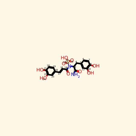 NC(=O)C(Cc1ccc(O)c(O)c1)N(C(=O)/C=C/c1ccc(O)c(O)c1)S(=O)(=O)O